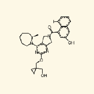 C[C@@H]1CCCCCN1c1nc(OCC2(CO)CC2)nc2c1CN(C(=O)c1cc(O)cc3cccc(I)c13)C2